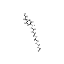 CCCCCCCCCCCCCCc1cc[n+](CCC)cc1